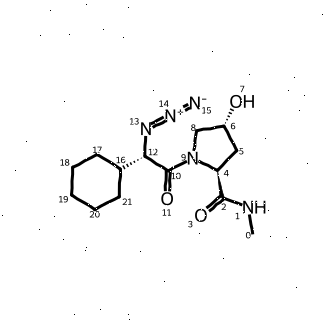 CNC(=O)[C@@H]1C[C@@H](O)CN1C(=O)[C@@H](N=[N+]=[N-])C1CCCCC1